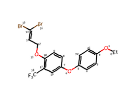 CCOc1ccc(Oc2ccc(OCC=C(Br)Br)c(C(F)(F)F)c2)cc1